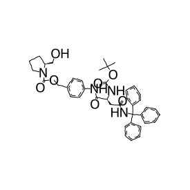 CC(C)(C)OC(=O)N[C@@H](CC(=O)NC(c1ccccc1)(c1ccccc1)c1ccccc1)C(=O)Nc1ccc(COC(=O)N2CCC[C@H]2CO)cc1